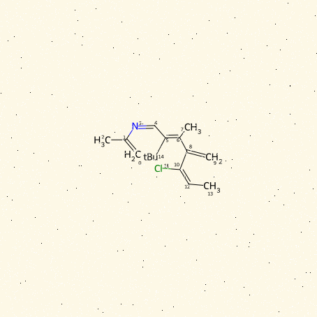 C=C(C)/N=C\C(=C(/C)C(=C)/C(Cl)=C\C)C(C)(C)C